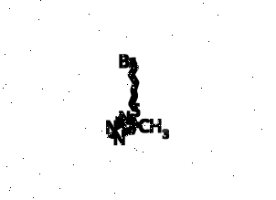 Cc1cc2ncnn2nc1SCCCCCCBr